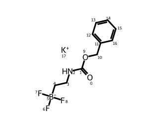 O=C(NCC[B-](F)(F)F)OCc1ccccc1.[K+]